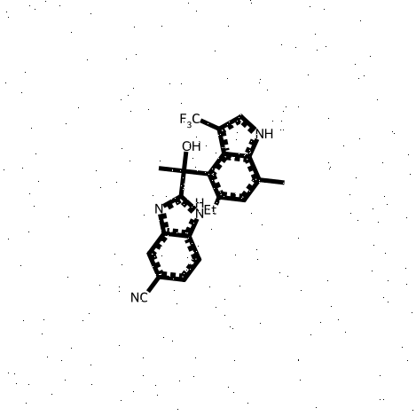 CCc1cc(C)c2[nH]cc(C(F)(F)F)c2c1C(C)(O)c1nc2cc(C#N)ccc2[nH]1